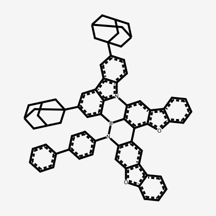 c1ccc(-c2ccc(N3B4c5c(cc6c(oc7ccccc76)c5-c5cc6c(cc53)oc3ccccc36)-n3c5ccc(C67CC8CC(CC(C8)C6)C7)cc5c5cc(C67CC8CC(CC(C8)C6)C7)cc4c53)cc2)cc1